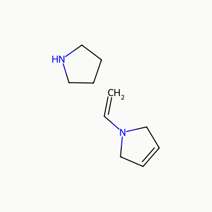 C1CCNC1.C=CN1CC=CC1